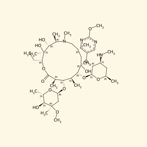 CC[C@H]1OC(=O)[C@H](C)[C@@H](O[C@H]2C[C@@](C)(OC)[C@@H](O)[C@H](C)O2)[C@H](C)[C@@H](O[C@@H]2O[C@H](C)C[C@H](NC)[C@H]2Oc2cnc(OC)nc2)[C@](C)(O)C[C@@H](C)CN(C)[C@H](C)[C@@H](O)[C@]1(C)O